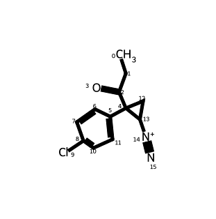 CCC(=O)C1(c2ccc(Cl)cc2)CC1[N+]#N